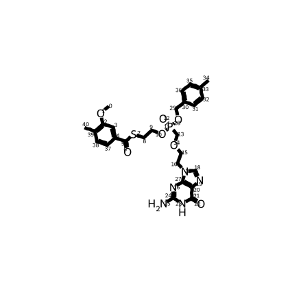 COc1cc(C(=O)SCCOP(=O)(COCCn2cnc3c(=O)[nH]c(N)nc32)OCc2ccc(C)cc2)ccc1C